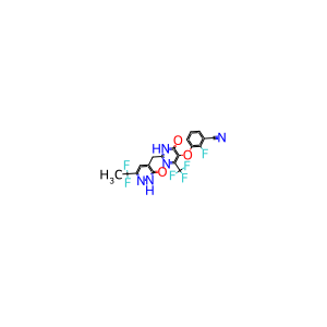 CC(F)(F)c1cc(Cc2nc(C(F)(F)F)c(Oc3cccc(C#N)c3F)c(=O)[nH]2)c(=O)[nH]n1